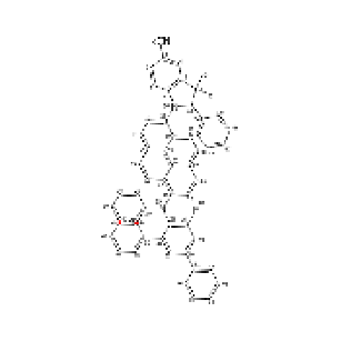 CC1(C)c2cc(C#N)ccc2N(c2ccc3ccc4c(N(c5ccccc5)c5c(F)cc(-c6ccccc6)cc5-c5ccccc5)ccc5ccc2c3c54)C1c1ccccc1